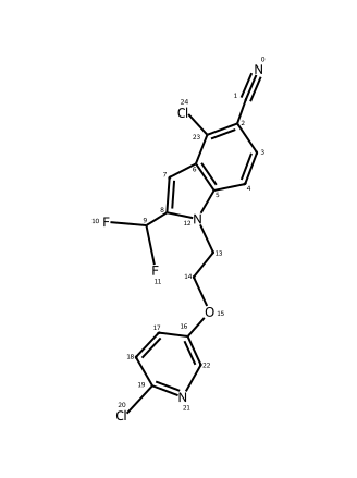 N#Cc1ccc2c(cc(C(F)F)n2CCOc2ccc(Cl)nc2)c1Cl